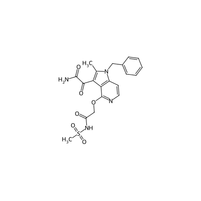 Cc1c(C(=O)C(N)=O)c2c(OCC(=O)NS(C)(=O)=O)nccc2n1Cc1ccccc1